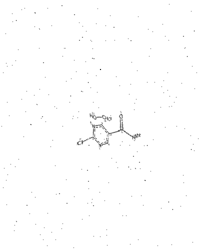 CNC(=O)c1cnc(Cl)nc1.O=CO